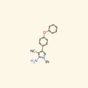 CC(C)n1cc(-c2ccc(Oc3ccccc3)cc2)c(C#N)c1N